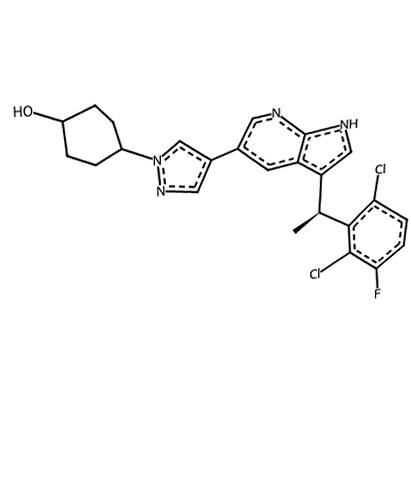 C[C@H](c1c(Cl)ccc(F)c1Cl)c1c[nH]c2ncc(-c3cnn(C4CCC(O)CC4)c3)cc12